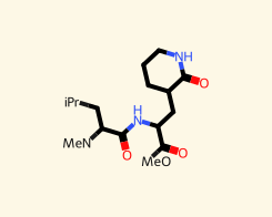 CNC(CC(C)C)C(=O)NC(CC1CCCNC1=O)C(=O)OC